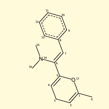 CC1=CCC=C(C(=Cc2ccccc2)N(C)C)O1